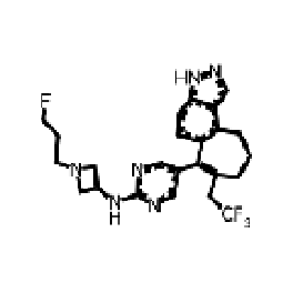 FCCCN1CC(Nc2ncc(C3=C(CC(F)(F)F)CCCc4c3ccc3[nH]ncc43)cn2)C1